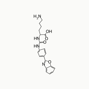 NCCCCC(NC(=O)Nc1ccc(-c2nc3ccccc3o2)cc1)C(=O)O